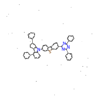 c1ccc(-c2ccc3c4c(-c5ccccc5)cccc4n(-c4ccc5c(c4)sc4cc(-c6nc(-c7ccccc7)nc(-c7ccccc7)n6)ccc45)c3c2)cc1